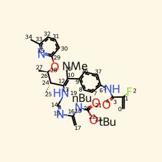 C=C(F)C(=O)Nc1ccc(C(NC)=C(N/C=N\C(=C)N(CCCC)C(=O)OC(C)(C)C)[C@H](C)[C@@H](C)Oc2cccc(C)n2)cc1